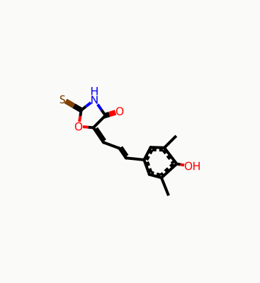 Cc1cc(C=CC=C2OC(=S)NC2=O)cc(C)c1O